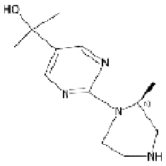 C[C@H]1CNCCN1c1ncc(C(C)(C)O)cn1